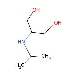 CC(C)NC(CO)CO